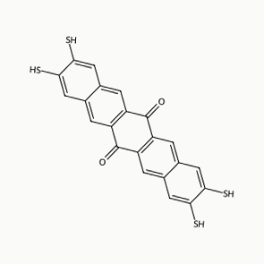 O=C1c2cc3cc(S)c(S)cc3cc2C(=O)c2cc3cc(S)c(S)cc3cc21